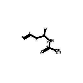 C=CCC(C)NC(=O)C(F)(F)F